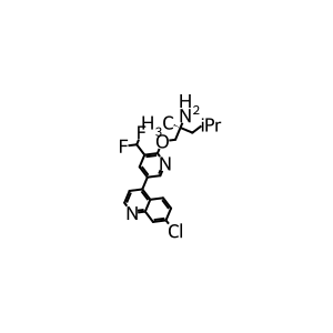 CC(C)C[C@](C)(N)COc1ncc(-c2ccnc3cc(Cl)ccc23)cc1C(F)F